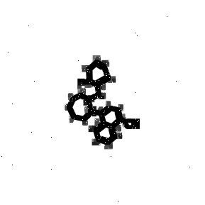 N#Cc1ccc(N2CCCCCN2Cc2ccccc2F)c2ccccc12